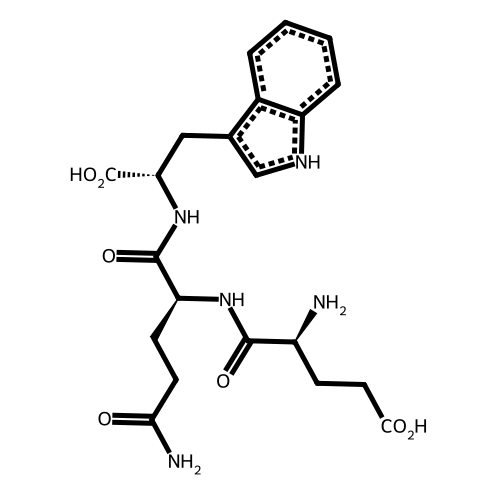 NC(=O)CC[C@H](NC(=O)[C@@H](N)CCC(=O)O)C(=O)N[C@@H](Cc1c[nH]c2ccccc12)C(=O)O